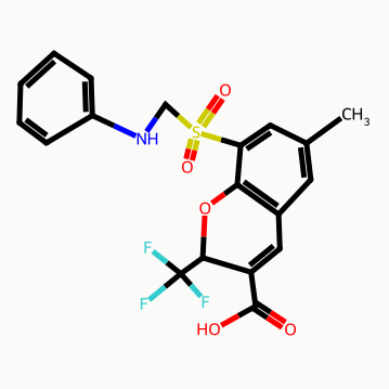 Cc1cc2c(c(S(=O)(=O)CNc3ccccc3)c1)OC(C(F)(F)F)C(C(=O)O)=C2